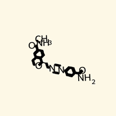 CNC(=O)c1ccc2c(c1)CCO[C@@H]2CCN1CCN(c2ccc(C(N)=O)cc2)CC1